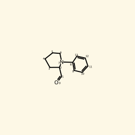 O=[C]C1CCCCN1c1ccccc1